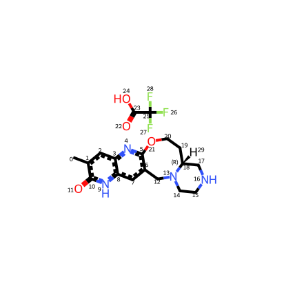 Cc1cc2nc3c(cc2[nH]c1=O)CN1CCNC[C@H]1CCO3.O=C(O)C(F)(F)F